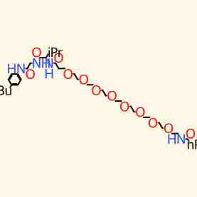 CCCCc1ccc(NC(=O)CNC(=O)C(NC(=O)CCOCCOCCOCCOCCOCCOCCOCCOCCNC(=O)CCC)C(C)C)cc1